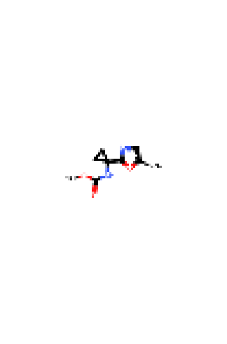 Cc1cnc(C2(NC(=O)OC(C)(C)C)CC2)o1